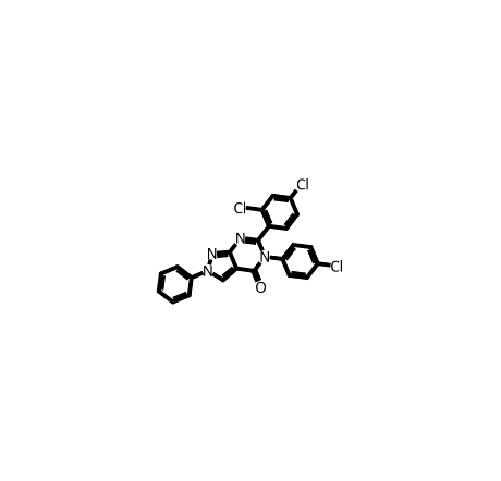 O=c1c2cn(-c3ccccc3)nc2nc(-c2ccc(Cl)cc2Cl)n1-c1ccc(Cl)cc1